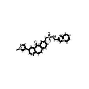 Cn1cc(-c2cnc3ccc4ccc(CS(=O)(=O)NCc5cn6ccccc6n5)cc4c(=O)c3c2)cn1